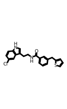 O=C(NCCc1c[nH]c2ccc(Cl)cc12)c1cccc(Cc2cccs2)c1